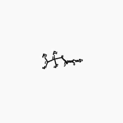 FC(F)C(F)(F)CN=C=S